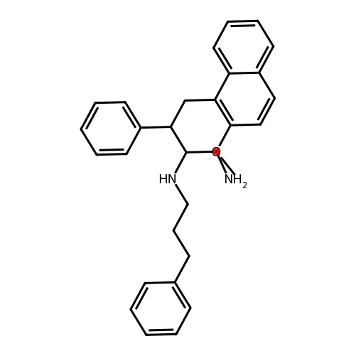 COc1ccc2ccccc2c1CC(c1ccccc1)C(CN)NCCCc1ccccc1